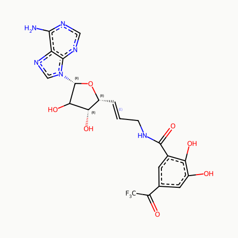 Nc1ncnc2c1ncn2[C@@H]1O[C@H](/C=C/CNC(=O)c2cc(C(=O)C(F)(F)F)cc(O)c2O)[C@H](O)C1O